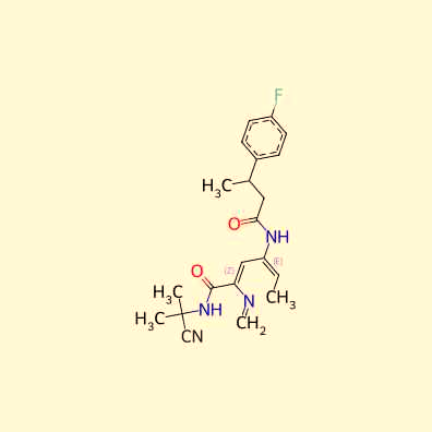 C=N/C(=C\C(=C/C)NC(=O)CC(C)c1ccc(F)cc1)C(=O)NC(C)(C)C#N